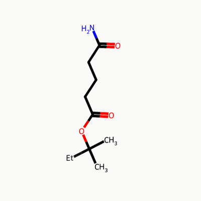 CCC(C)(C)OC(=O)CCCC(N)=O